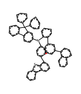 c1ccc(C2(c3ccccc3)c3ccccc3-c3ccc(N(c4ccc(-c5cccc6c5sc5ccccc56)cc4)c4ccccc4-c4cccc(-c5cccc6ccccc56)c4)cc32)cc1